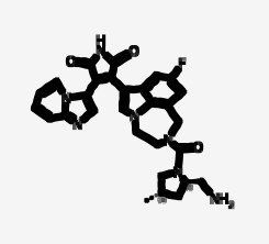 C[C@H]1C[C@H](CN)N(C(=O)N2CCn3cc(C4=C(c5cnc6ccccn56)C(=O)NC4=O)c4cc(F)cc(c43)C2)C1